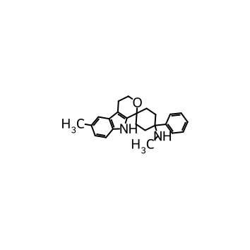 CNC1(c2ccccc2)CCC2(CC1)OCCc1c2[nH]c2ccc(C)cc12